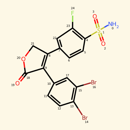 NS(=O)(=O)c1ccc(C2=C(c3ccc(Br)c(Br)c3)C(=O)OC2)cc1F